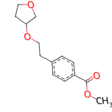 COC(=O)c1ccc(CCOC2CCOC2)cc1